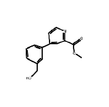 COC(=O)c1cc(-c2cccc(CO)c2)ccn1